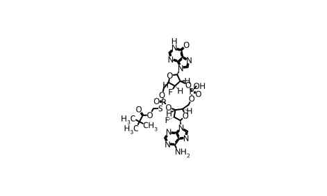 CC(C)(C)C(=O)OCSP1(=O)OC[C@H]2O[C@@H](n3cnc4c(=O)[nH]cnc43)[C@H](OP(=O)(O)OC[C@H]3O[C@@H](n4cnc5c(N)ncnc54)[C@H](F)[C@@H]3O1)[C@H]2F